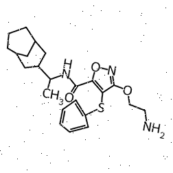 CC(NC(=O)c1onc(OCCN)c1Sc1ccccc1)C1CC2CCCC(C2)C1